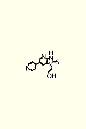 OCCn1c(=S)[nH]c2ncc(-c3ccncc3)cc21